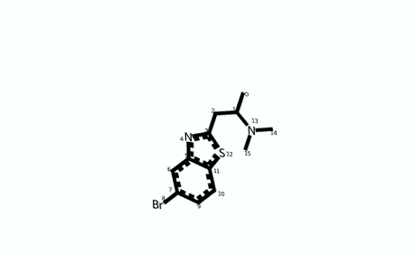 CC(Cc1nc2cc(Br)ccc2s1)N(C)C